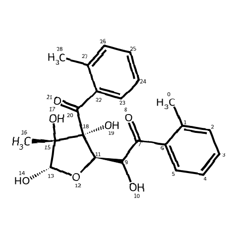 Cc1ccccc1C(=O)C(O)[C@H]1O[C@H](O)[C@](C)(O)[C@@]1(O)C(=O)c1ccccc1C